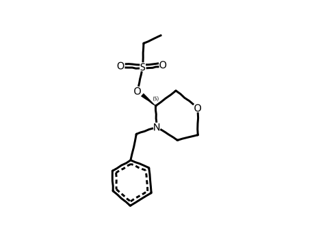 CCS(=O)(=O)O[C@H]1COCCN1Cc1ccccc1